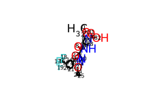 COC[C@@H]1C[C@@H](NC(=O)c2nnc(-c3cc(C(F)(F)F)ccc3OC3CC3)o2)CN1C(=O)O